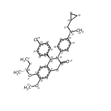 CC[C@@H](C)Oc1cc2c(cc1OC)CC(=O)N(c1ccc(N(C)CC3CC3)cc1)[C@@H]2c1ccc(Cl)cc1